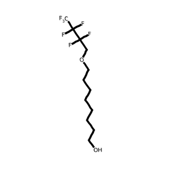 OCCCCCCCCOCC(F)(F)C(F)(F)C(F)(F)F